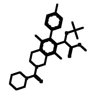 COC(=O)C(OC(C)(C)C)c1c(C)c2c(c(C)c1-c1ccc(C)cc1)CCN(C(=O)N1CCCCC1)C2